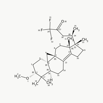 CO[C@@H]1CC[C@]23C[C@]24CC[C@@]2(C)C(=C4CC[C@H]3C1(C)C)CC[C@@]2(C)[C@H](C)CC(=O)C(F)(F)F